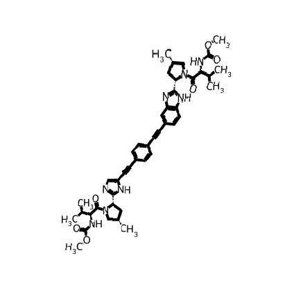 COC(=O)N[C@H](C(=O)N1C[C@@H](C)C[C@H]1c1ncc(C#Cc2ccc(C#Cc3ccc4[nH]c([C@@H]5C[C@H](C)CN5C(=O)[C@@H](NC(=O)OC)C(C)C)nc4c3)cc2)[nH]1)C(C)C